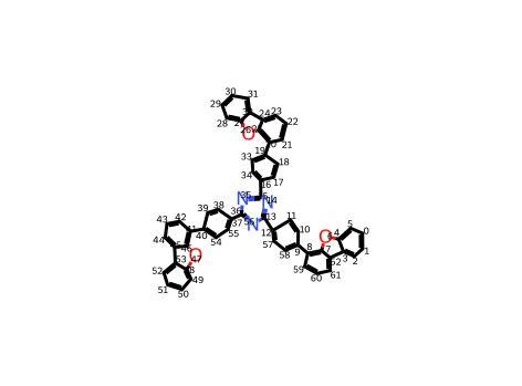 c1ccc2c(c1)oc1c(-c3ccc(-c4nc(-c5ccc(-c6cccc7c6oc6ccccc67)cc5)nc(-c5ccc(-c6cccc7c6oc6ccccc67)cc5)n4)cc3)cccc12